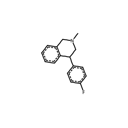 CN1Cc2ccccc2C(c2ccc(F)cc2)C1